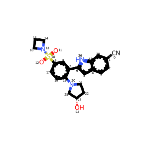 N#Cc1ccc2cc(-c3cc(S(=O)(=O)N4CCC4)ccc3N3CC[C@H](O)C3)[nH]c2c1